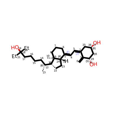 C=C1/C(=C\C=C2/CCC[C@]3(C)[C@@H]([C@H](C)CCCCC(O)(CC)CC)CC[C@@H]23)C[C@@H](O)C[C@@H]1O